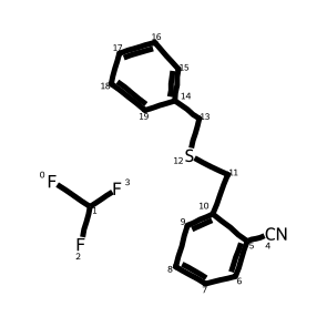 FC(F)F.N#Cc1ccccc1CSCc1ccccc1